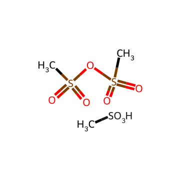 CS(=O)(=O)O.CS(=O)(=O)OS(C)(=O)=O